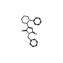 O=C1C=C(C2CCCCN2c2ccccc2)C(=O)N1Cc1ccccc1